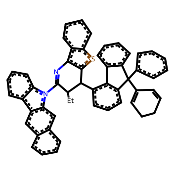 CCC1C(n2c3ccccc3c3cc4ccccc4cc32)=Nc2c(sc3ccccc23)C1c1cccc2c1-c1ccccc1C2(C1=CCCC=C1)c1ccccc1